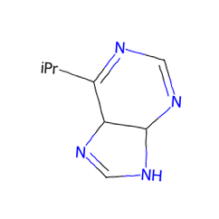 CC(C)C1=NC=NC2NC=NC12